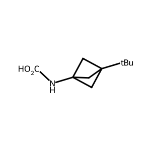 CC(C)(C)C12CC(NC(=O)O)(C1)C2